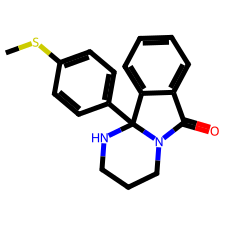 CSc1ccc(C23NCCCN2C(=O)c2ccccc23)cc1